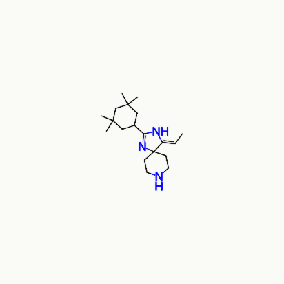 CC=C1NC(C2CC(C)(C)CC(C)(C)C2)=NC12CCNCC2